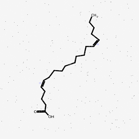 CCCC/C=C\CCCCCCCC/C=C\CCCC(=O)O